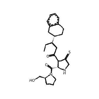 CCC(CC(=O)C1C(=S)CN[C@@H]1C(=O)N1CCC[C@H]1CO)[C@H]1CCc2ccccc2C1